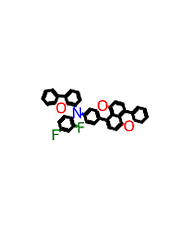 Fc1ccc(N(c2ccc3c(c2)Oc2ccc4c5c(ccc-3c25)OC2CC=CC=C42)c2cccc3c2oc2ccccc23)c(F)c1